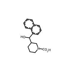 O=C(O)N1CCCC(C(O)c2cccc3ccccc23)C1